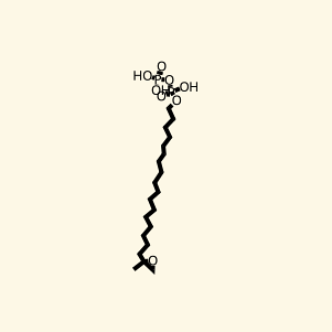 CC1(CCCCCCCCCCCCCCCCCOP(=O)(O)OP(=O)(O)O)CO1